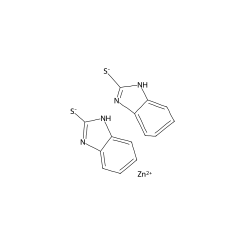 [S-]c1nc2ccccc2[nH]1.[S-]c1nc2ccccc2[nH]1.[Zn+2]